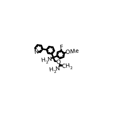 C=C(N)OCC(N)(c1cccc(-c2cccnc2)c1)c1ccc(OC)c(F)c1